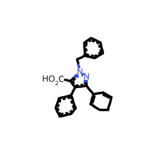 O=C(O)c1c(-c2ccccc2)c(C2=CCCC=C2)nn1Cc1ccccc1